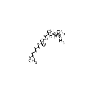 CCCCCCCCC(=O)OCCC(C)CCC=C(C)C